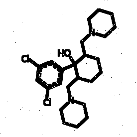 OC1(c2cc(Cl)cc(Cl)c2)C(CN2CCCCC2)CCCC1CN1CCCCC1